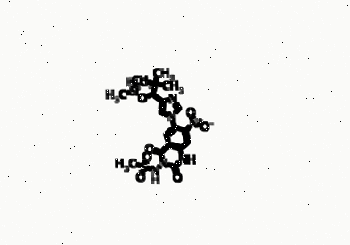 C[SiH](C)OC(c1cn(-c2cc3c(=O)n(NS(C)(=O)=O)c(=O)[nH]c3cc2[N+](=O)[O-])cn1)C(C)(C)C